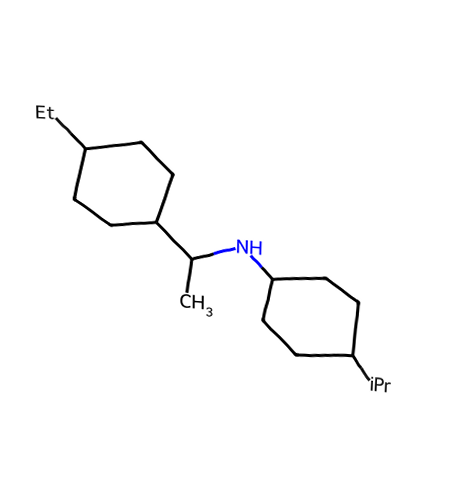 CCC1CCC(C(C)NC2CCC(C(C)C)CC2)CC1